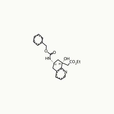 CCOC(=O)C[C@]1(O)C[C@@H](NC(=O)OCc2ccccc2)Cc2cccnc21